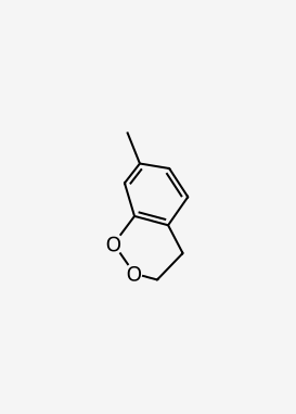 Cc1ccc2c(c1)OOCC2